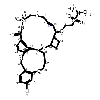 CN(C)S(=O)(=O)CCOC1/C=C/CCCS(=O)(=O)NC(=O)c2ccc3c(c2)N(CCCCc2cc(Cl)ccc2CO3)CC2CCC21